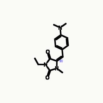 CCN1C(=O)/C(=C\c2ccc(N(C)C)cc2)N(C)C1=O